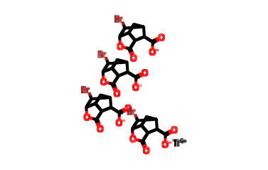 O=C([O-])C1C2CC3C(OC(=O)C31)C2Br.O=C([O-])C1C2CC3C(OC(=O)C31)C2Br.O=C([O-])C1C2CC3C(OC(=O)C31)C2Br.O=C([O-])C1C2CC3C(OC(=O)C31)C2Br.[Ti+4]